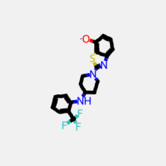 [O]c1cccc2nc(N3CCC(Nc4ccccc4C(F)(F)F)CC3)sc12